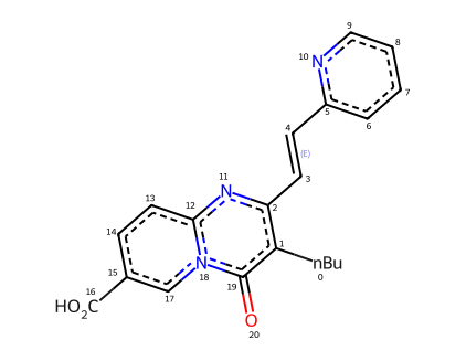 CCCCc1c(/C=C/c2ccccn2)nc2ccc(C(=O)O)cn2c1=O